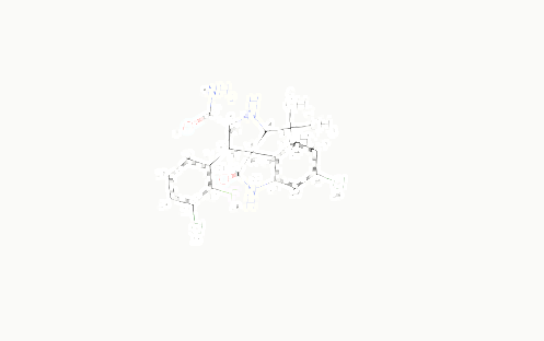 CC(C)(C)C1N[C@@H](C(N)=O)[C@H](c2cccc(Cl)c2F)[C@]12C(=O)Nc1cc(Cl)ccc12